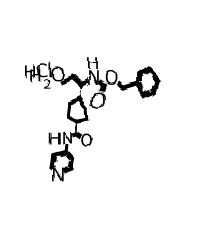 CCC(NC(=O)OCc1ccccc1)[C@H]1CC[C@H](C(=O)Nc2ccncc2)CC1.Cl.O